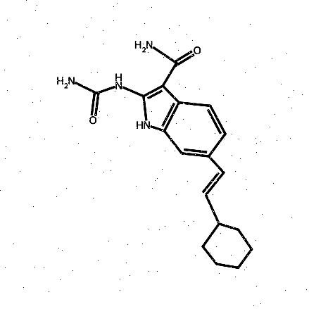 NC(=O)Nc1[nH]c2cc(C=CC3CCCCC3)ccc2c1C(N)=O